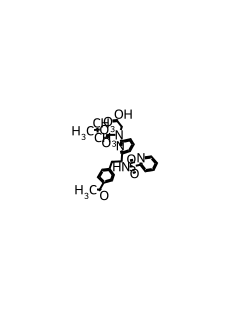 CC(=O)c1ccc(CC(NS(=O)(=O)c2ccccn2)c2cccc(N(CC(=O)O)C(=O)OC(C)(C)C)n2)cc1